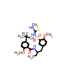 CCC(Cc1ccc(OC)c(S(=O)(=O)NC(=S)NC)c1)NC(=O)c1cc(C(C)(C)C)ccc1OC